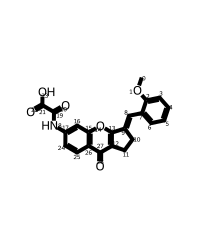 COc1ccccc1C=C1CCc2c1oc1cc(NC(=O)C(=O)O)ccc1c2=O